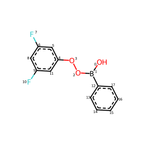 OB(OOc1cc(F)cc(F)c1)c1ccccc1